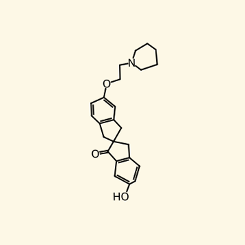 O=C1c2cc(O)ccc2CC12Cc1ccc(OCCN3CCCCC3)cc1C2